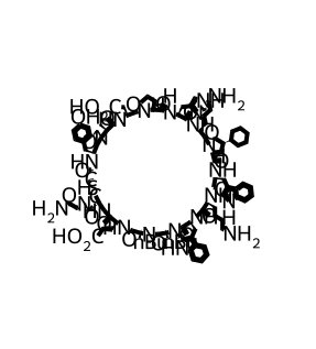 CCCC[C@H]1C(=O)N(C)[C@@H](CCCC)C(=O)N[C@@H](CCC(=O)O)C(=O)N[C@H](C(=O)NCC(N)=O)CSCC(=O)N[C@@H](Cc2ccc(O)cc2)C(=O)N(C)[C@@H](C)C(=O)N[C@@H](CC(=O)O)C(=O)N2CCC[C@H]2C(=O)N[C@@H](Cc2c[nH]cn2)C(=O)N[C@@H](CCCCN)C(=O)N2C[C@H](C3CCCCC3)C[C@H]2C(=O)N[C@@H](Cc2c[nH]c3ccccc23)C(=O)N[C@@H](CCCCN)C(=O)N[C@@H](Cc2c[nH]c3ccccc23)C(=O)N1C